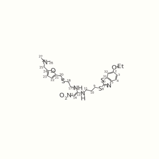 CCOc1ccc2nc(SCCCNC(=C[N+](=O)[O-])NCCSCc3ccc(CN(C)C)o3)sc2c1